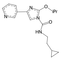 CC(C)Oc1nc(-c2cccnc2)cn1C(=O)NCCC1CC1